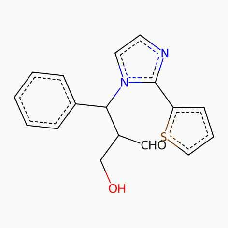 O=CC(CO)C(c1ccccc1)n1ccnc1-c1cccs1